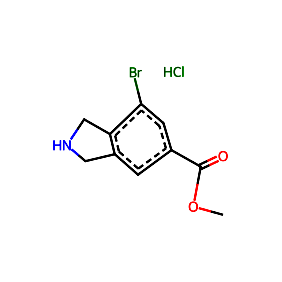 COC(=O)c1cc(Br)c2c(c1)CNC2.Cl